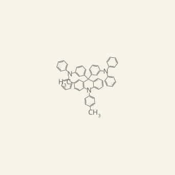 Cc1ccc(N2c3ccccc3C(c3cccc(N(c4ccccc4)c4ccccc4)c3)(c3cccc(N(c4ccccc4)c4ccccc4)c3)c3cc(C)ccc32)cc1